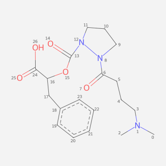 CN(C)CCCC(=O)N1CCCN1C(=O)OC(Cc1ccccc1)C(=O)O